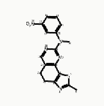 Cc1nc2c(s1)-c1nc(N(C)c3cccc([N+](=O)[O-])c3)ncc1CC2